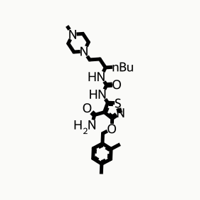 CCCCC(CCN1CCN(C)CC1)NC(=O)Nc1snc(OCc2ccc(C)cc2C)c1C(N)=O